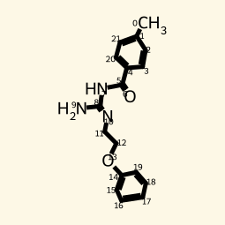 Cc1ccc(C(=O)NC(N)=NCCOc2ccccc2)cc1